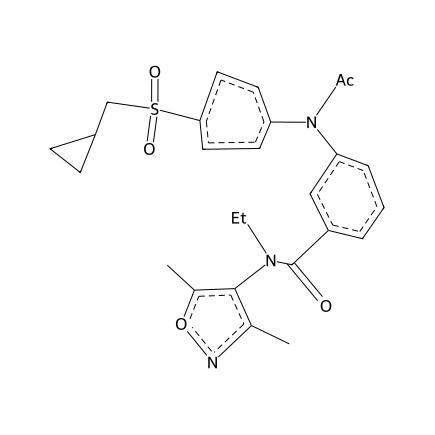 CCN(C(=O)c1cccc(N(C(C)=O)c2ccc(S(=O)(=O)CC3CC3)cc2)c1)c1c(C)noc1C